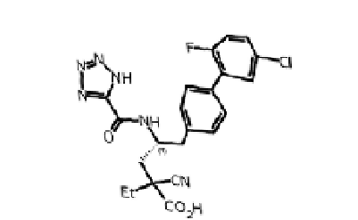 CCC(C#N)(C[C@@H](Cc1ccc(-c2cc(Cl)ccc2F)cc1)NC(=O)c1nnn[nH]1)C(=O)O